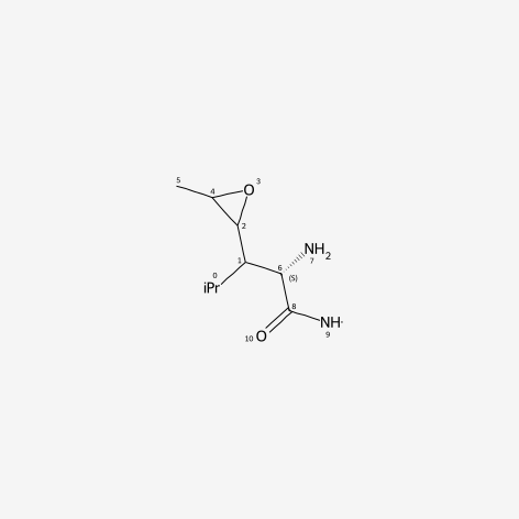 CC(C)C(C1OC1C)[C@H](N)C([NH])=O